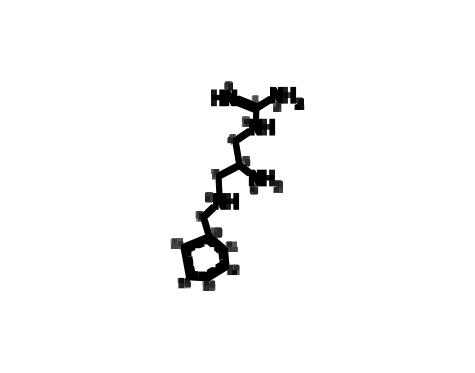 N=C(N)NCC(N)CNCc1ccccc1